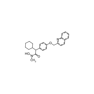 CN(O)C(=O)C(c1ccc(OCc2ccc3ccccc3n2)cc1)C1CCCCC1